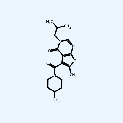 Cc1oc2ncn(CC(C)C)c(=O)c2c1C(=O)N1CCC(C)CC1